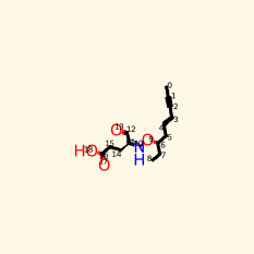 CC#CC=CCC(CC)ON[C@H](C=O)CCC(=O)O